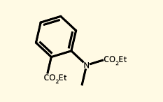 CCOC(=O)c1ccccc1N(C)C(=O)OCC